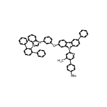 Cc1cc(-n2c3ccc(-c4ccccc4)cc3c3ccc(Oc4cccc(-n5c[n+](-c6c(-c7ccccc7)cccc6-c6ccccc6)c6ccccc65)c4)cc32)ncc1-c1ccc(C(C)(C)C)cc1